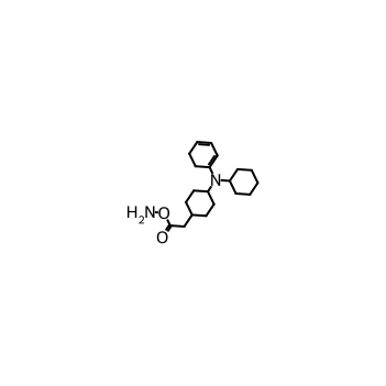 NOC(=O)CC1CCC(N(C2=CC=CCC2)C2CCCCC2)CC1